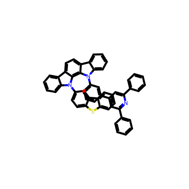 c1ccc(-c2cc(-c3cccc(-n4c5ccccc5c5ccc6c7ccccc7n(-c7ccc8sc9ccccc9c8c7)c6c54)c3)cc(-c3ccccc3)n2)cc1